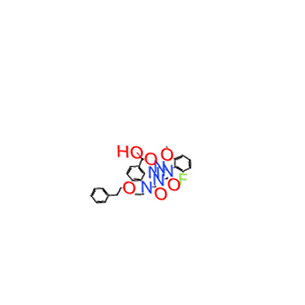 CCN(C(=O)n1nnn(-c2c(F)cccc2OC)c1=O)c1cc(C(=O)O)ccc1OCCc1ccccc1